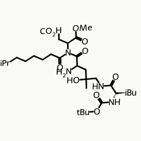 CC[C@H](C)[C@H](NC(=O)OC(C)(C)C)C(=O)NCC(C)(O)CC(N)C(=O)N(C(=O)CCCCCC(C)C)C(CC(=O)O)C(=O)OC